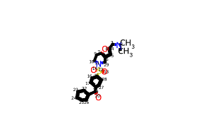 CN(C)Cc1cc2c(o1)CCN(S(=O)(=O)c1ccc(C(=O)c3ccccc3)cc1)C2